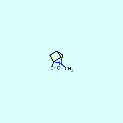 CN1CC2CC1(C=O)C2